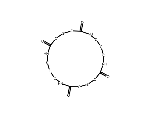 O=C1CSCC(=O)NCCCNC(=O)CSCC(=O)NCCCN1